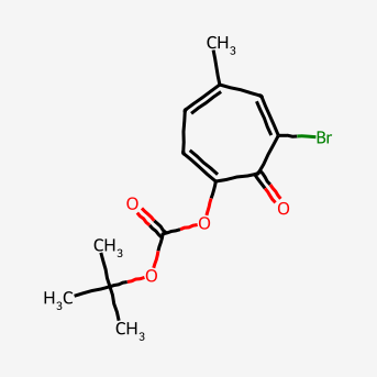 Cc1ccc(OC(=O)OC(C)(C)C)c(=O)c(Br)c1